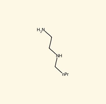 CCCCNCCN